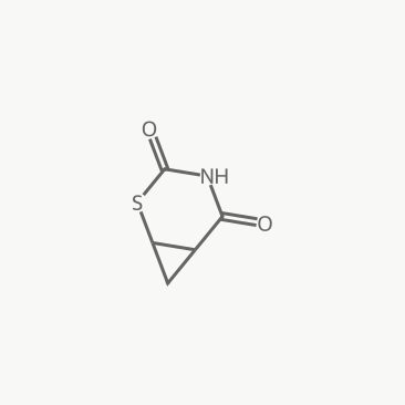 O=C1NC(=O)C2CC2S1